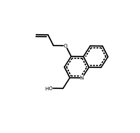 C=CCOc1cc(CO)nc2ccccc12